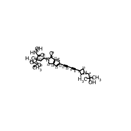 CC(C)(O)CN1CC(C#CC#Cc2cc3c(s2)C(=O)N(CCC(C)(C(=O)NO)S(C)(=O)=O)C3)C1